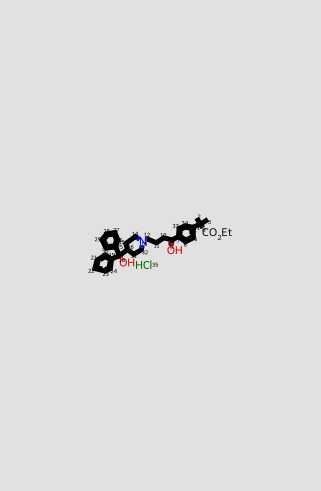 CCOC(=O)C(C)(C)c1ccc(C(O)CCCN2CCC(C(O)(c3ccccc3)c3ccccc3)CC2)cc1.Cl